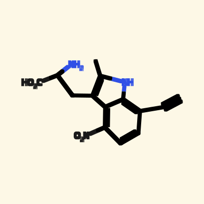 C#Cc1ccc([N+](=O)[O-])c2c(CC(N)C(=O)O)c(C)[nH]c12